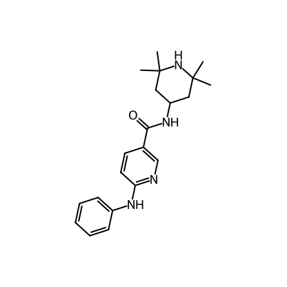 CC1(C)CC(NC(=O)c2ccc(Nc3ccccc3)nc2)CC(C)(C)N1